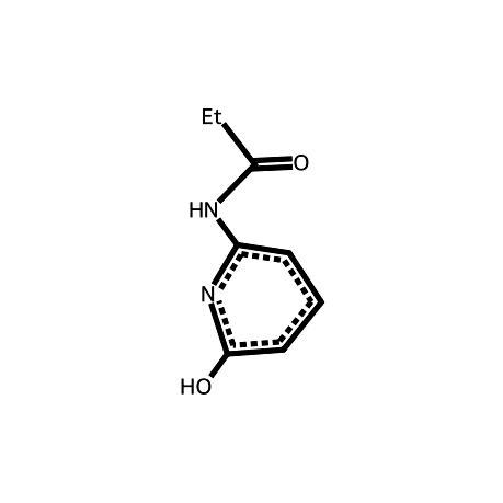 CCC(=O)Nc1cccc(O)n1